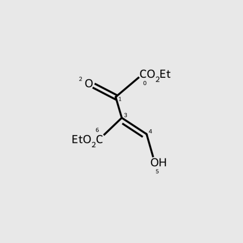 CCOC(=O)C(=O)/C(=C/O)C(=O)OCC